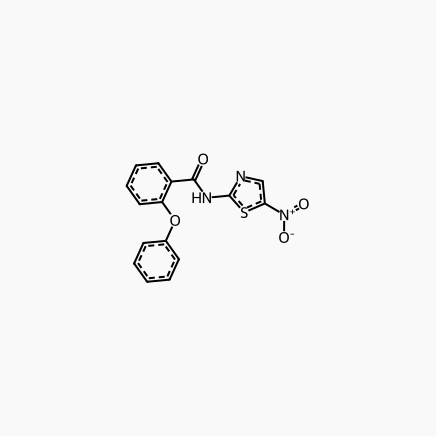 O=C(Nc1ncc([N+](=O)[O-])s1)c1ccccc1Oc1ccccc1